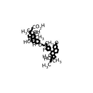 CC#C[C@]1(O)[C@H](C)CC2C3CCC4=CC(=O)CCC4=C3[C@@H](c3ccc(N(C)CCO[C@H]4CC[C@@]5(C)[C@@H](C4)C[C@@H](O)[C@@H]4[C@@H]5C[C@H](O)[C@]5(C)[C@@H]([C@H](C)CCC(=O)O)CC[C@@H]45)c(F)c3)C[C@@]21C